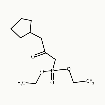 O=C(CC1CCCC1)CP(=O)(OCC(F)(F)F)OCC(F)(F)F